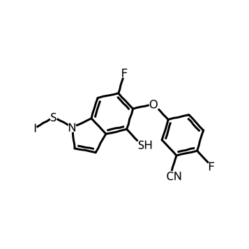 N#Cc1cc(Oc2c(F)cc3c(ccn3SI)c2S)ccc1F